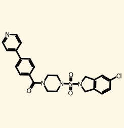 O=C(c1ccc(-c2ccncc2)cc1)N1CCN(S(=O)(=O)N2Cc3ccc(Cl)cc3C2)CC1